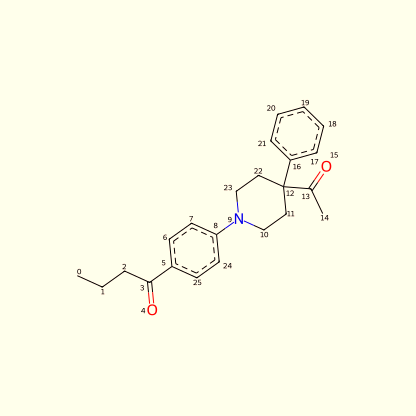 CCCC(=O)c1ccc(N2CCC(C(C)=O)(c3ccccc3)CC2)cc1